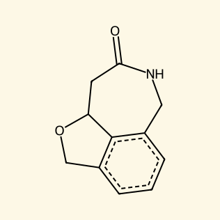 O=C1CC2OCc3cccc(c32)CN1